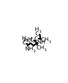 CCC(C)(C)NC(C)(CC)CCC(C)N